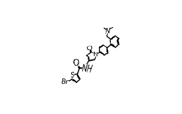 CN(C)Cc1ccccc1-c1ccc(N2CC(NC(=O)c3ccc(Br)s3)CC2=O)cc1